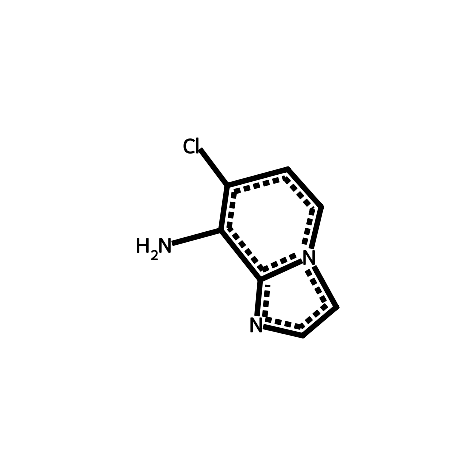 Nc1c(Cl)ccn2ccnc12